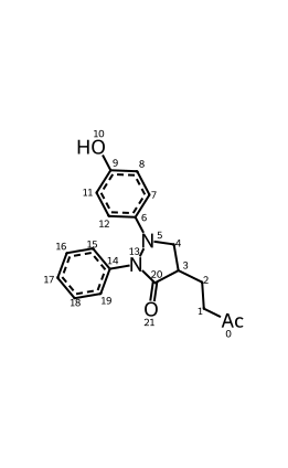 CC(=O)CCC1CN(c2ccc(O)cc2)N(c2ccccc2)C1=O